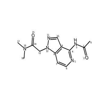 CC(=O)Nc1nccc2c1cnn2CC(=O)N(C)C